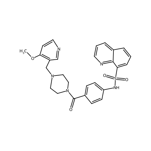 COc1ccncc1CN1CCN(C(=O)c2ccc(NS(=O)(=O)c3cccc4cccnc34)cc2)CC1